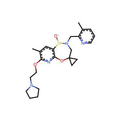 Cc1cccnc1CN1CC2(CC2)Oc2nc(OCCN3CCCC3)c(C)cc2[S+]1[O-]